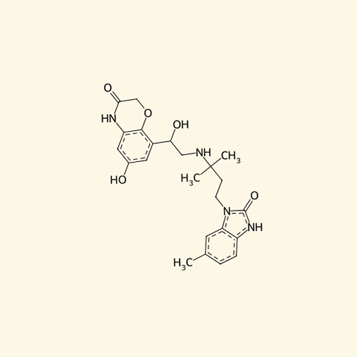 Cc1ccc2[nH]c(=O)n(CCC(C)(C)NCC(O)c3cc(O)cc4c3OCC(=O)N4)c2c1